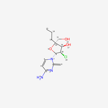 C=C1N=C(N)C=CN1[C@@H]1O[C@@](CO)(CCC)[C@@H](O)[C@H]1Cl